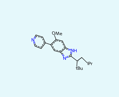 COc1cc2[nH]c([C](CC(C)C)C(C)(C)C)nc2cc1-c1ccncc1